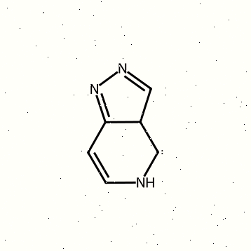 [C]1NC=CC2=NN=CC12